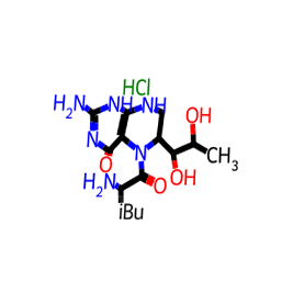 CCC(C)C(N)C(=O)N1c2c([nH]c(N)nc2=O)NCC1C(O)C(C)O.Cl